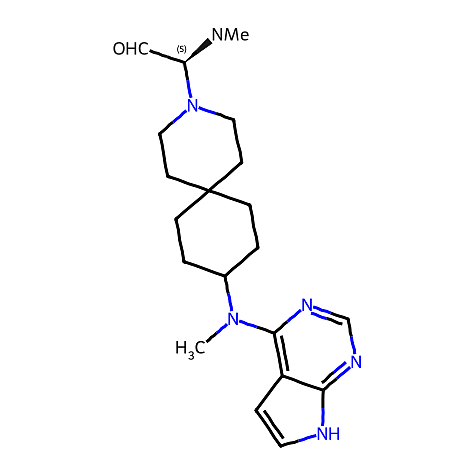 CN[C@H](C=O)N1CCC2(CCC(N(C)c3ncnc4[nH]ccc34)CC2)CC1